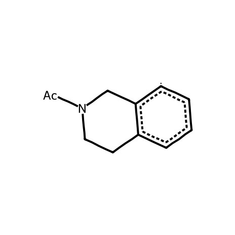 CC(=O)N1CCc2ccc[c]c2C1